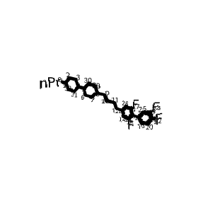 CCCC1CCC(C2CCC(CCCCc3cc(F)c(-c4ccc(F)c(F)c4)c(F)c3)CC2)CC1